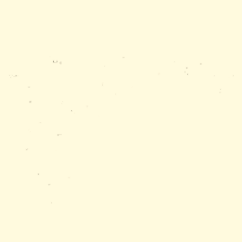 COc1cc(NC(C)Cc2ccc(OCCNCC3CC3)c(F)c2)c(C2CCc3cc(O)ccc3C2)cc1OC